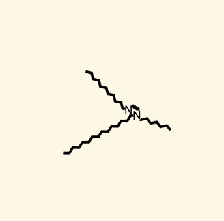 CCCCCCCCCCCCCCC1N(CCCCCCC)C=CN1CCCCCCCCCCC